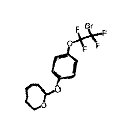 FC(F)(Br)C(F)(F)Oc1ccc(OC2CCCCO2)cc1